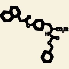 CCOC(=O)[C@H](Cc1ccc(OC(=O)Cc2cccc3ccccc23)cc1)NC(=O)OCc1ccccc1